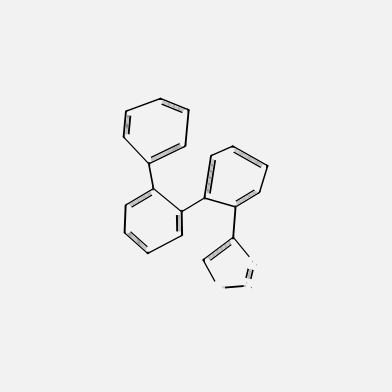 c1ccc(-c2ccccc2-c2ccccc2-c2conn2)cc1